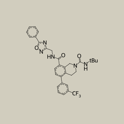 CC(C)(C)NC(=O)N1CCc2c(-c3cccc(C(F)(F)F)c3)ccc(C(=O)NCc3noc(-c4ccccc4)n3)c2C1